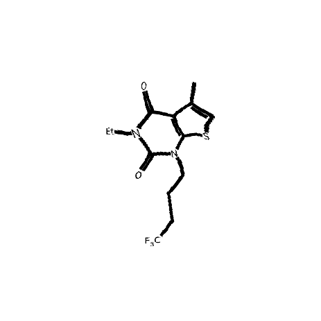 CCn1c(=O)c2c(C)csc2n(CCCC(F)(F)F)c1=O